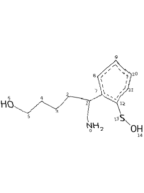 NC(CCCCO)c1ccccc1SO